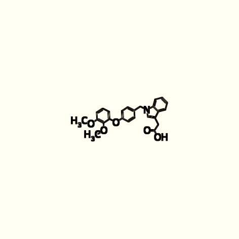 COc1cccc(Oc2ccc(Cn3cc(CC(=O)O)c4ccccc43)cc2)c1OC